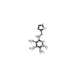 Nc1c(NCc2ccco2)n[n+]([O-])c(N)c1N